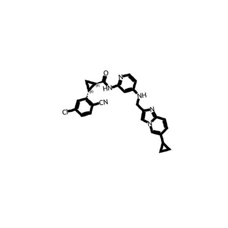 N#Cc1ccc(Cl)cc1[C@@H]1C[C@H]1C(=O)Nc1cc(NCc2cn3cc(C4CC4)ccc3n2)ccn1